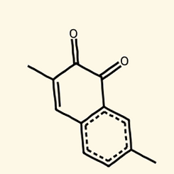 CC1=Cc2ccc(C)cc2C(=O)C1=O